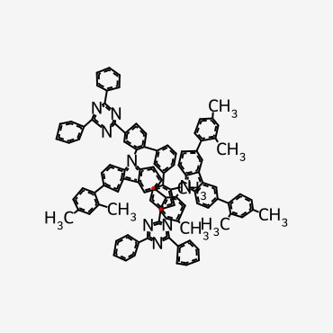 Cc1ccc(-c2ccc3c(c2)c2cc(-c4ccc(C)cc4C)ccc2n3-c2cc(-c3nc(-c4ccccc4)nc(-c4ccccc4)n3)ccc2-c2cccc(-c3ccc(-c4nc(-c5ccccc5)nc(-c5ccccc5)n4)cc3-n3c4ccc(-c5ccc(C)cc5C)cc4c4cc(-c5ccc(C)cc5C)ccc43)c2)c(C)c1